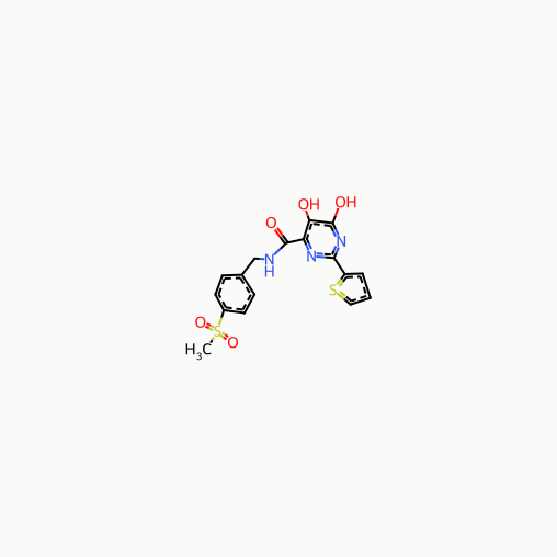 CS(=O)(=O)c1ccc(CNC(=O)c2nc(-c3cccs3)nc(O)c2O)cc1